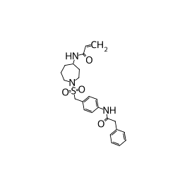 C=CC(=O)NC1CCCN(S(=O)(=O)Cc2ccc(NC(=O)Cc3ccccc3)cc2)CC1